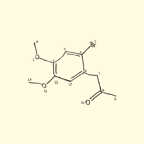 COc1cc(Br)c(CC(C)=O)cc1OC